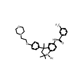 CC(=O)N1c2ccc(NC(=O)c3cccc(C(F)(F)F)c3)cc2C(C)(c2ccc(OCCN3CCOCC3)cc2)CC1(C)C